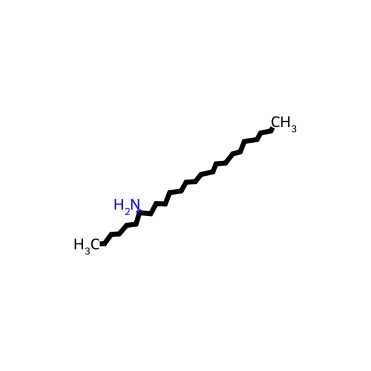 CCCCCCCCCCCCCCCCCCC(N)CCCCCC